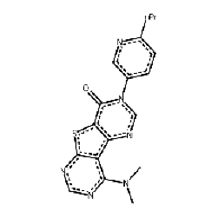 CCCc1ccc(-n2cnc3c(sc4ncnc(N(C)C)c43)c2=O)cn1